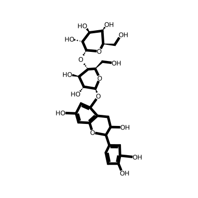 OC[C@H]1O[C@H](O[C@H]2[C@H](O)[C@@H](O)[C@@H](Oc3cc(O)cc4c3CC(O)C(c3ccc(O)c(O)c3)O4)O[C@@H]2CO)[C@H](O)[C@@H](O)[C@@H]1O